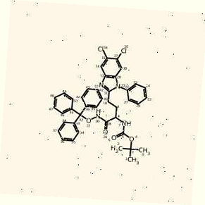 CC(C)(C)OC(=O)NC(CCc1nc2cc(Cl)c(Cl)cc2n1-c1ccccc1)C(=O)NOC(c1ccccc1)(c1ccccc1)c1ccccc1